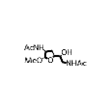 CO[C@H]1O[C@H]([C@H](O)CNC(C)=O)C[C@H]1NC(C)=O